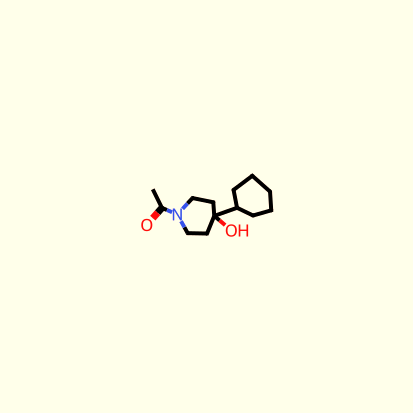 CC(=O)N1CCC(O)(C2CCCCC2)CC1